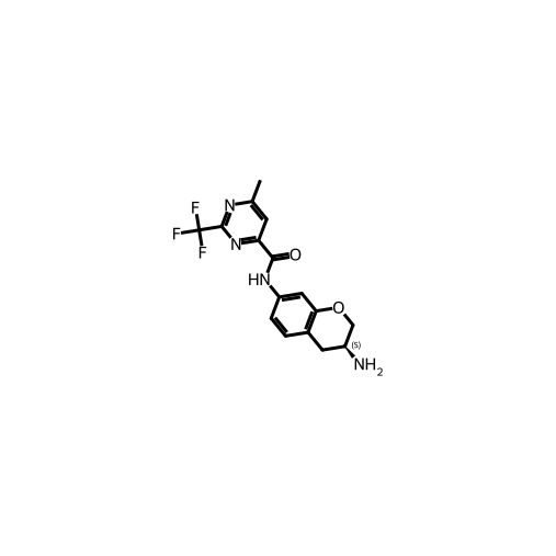 Cc1cc(C(=O)Nc2ccc3c(c2)OC[C@@H](N)C3)nc(C(F)(F)F)n1